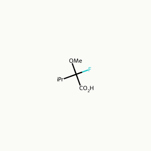 COC(F)(C(=O)O)C(C)C